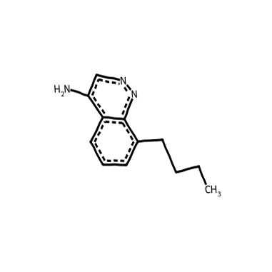 CCCCc1cccc2c(N)cnnc12